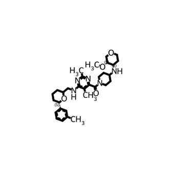 CO[C@@H]1COCC[C@@H]1NC1CCN(C(=O)c2nc(C)nc(NCC3CCC[C@@H](c4cccc(C)c4)O3)c2C)CC1